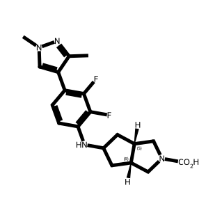 Cc1nn(C)cc1-c1ccc(NC2C[C@@H]3CN(C(=O)O)C[C@@H]3C2)c(F)c1F